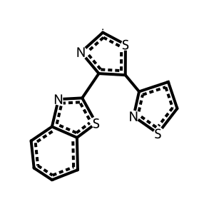 [c]1nc(-c2nc3ccccc3s2)c(-c2ccsn2)s1